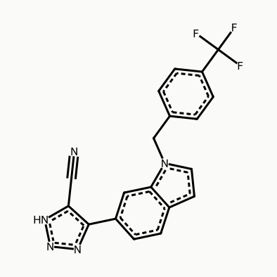 N#Cc1[nH]nnc1-c1ccc2ccn(Cc3ccc(C(F)(F)F)cc3)c2c1